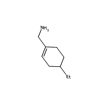 CCC1CC=C(CN)CC1